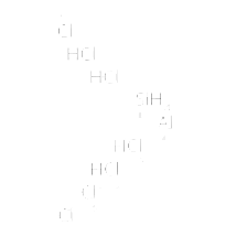 Cl.Cl.Cl.Cl.[Al+3].[Cl-].[Cl-].[Cl-].[SiH4]